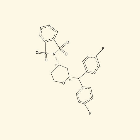 O=S1(=O)c2ccccc2S(=O)(=O)N1[C@H]1CCO[C@@H](C(c2ccc(F)cc2)c2ccc(F)cc2)C1